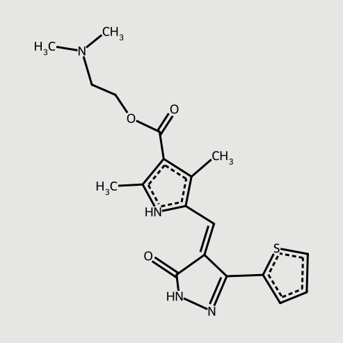 Cc1[nH]c(C=C2C(=O)NN=C2c2cccs2)c(C)c1C(=O)OCCN(C)C